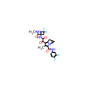 CNC(=O)C1(NC(=O)C(=O)c2c(C)c(C(=O)Nc3ccc(F)c(F)c3)n3c2CC2CC23)CC(F)(F)C1